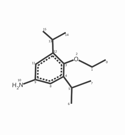 CCOc1c(C(C)C)cc(N)cc1C(C)C